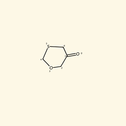 O=C1COCSC1